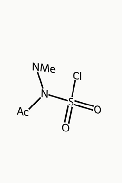 CNN(C(C)=O)S(=O)(=O)Cl